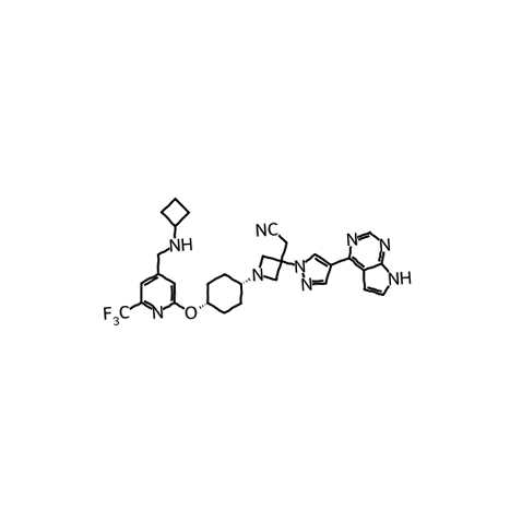 N#CCC1(n2cc(-c3ncnc4[nH]ccc34)cn2)CN([C@H]2CC[C@@H](Oc3cc(CNC4CCC4)cc(C(F)(F)F)n3)CC2)C1